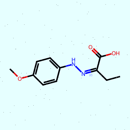 CC/C(=N/Nc1ccc(OC)cc1)C(=O)O